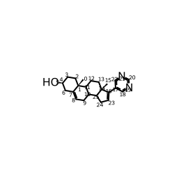 C[C@]12CC[C@H](O)CC1=CCC1C2CC[C@]2(C)C(c3cncnc3)=CCC12